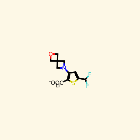 O=C([O-])c1sc(C(F)F)cc1N1CC2(COC2)C1.[Li+]